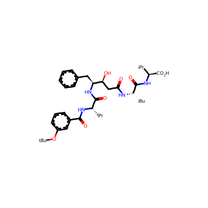 CC[C@H](C)[C@H](NC(=O)C[C@H](O)[C@H](Cc1ccccc1)NC(=O)[C@@H](NC(=O)c1cccc(OC(C)(C)C)c1)C(C)C)C(=O)N[C@H](C(=O)O)C(C)C